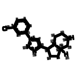 Clc1cccc(-n2cc(C3CC[C@H]4CNCCN34)nn2)c1